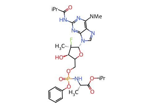 CNc1nc(NC(=O)C(C)C)nc2c1ncn2[C@@H]1OC(COP(=O)(N[C@@H](C)C(=O)OC(C)C)Oc2ccccc2)[C@@H](O)[C@@]1(C)F